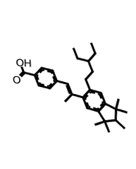 CCC(CC)CCc1cc2c(cc1C(C)=Cc1ccc(C(=O)O)cc1)C(C)(C)C(C)C2(C)C